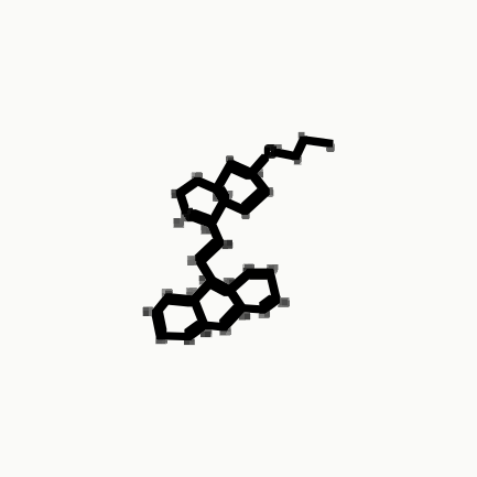 CCCOc1ccc2c(c1)CCN=C2/C=C/c1c2ccccc2cc2ccccc12